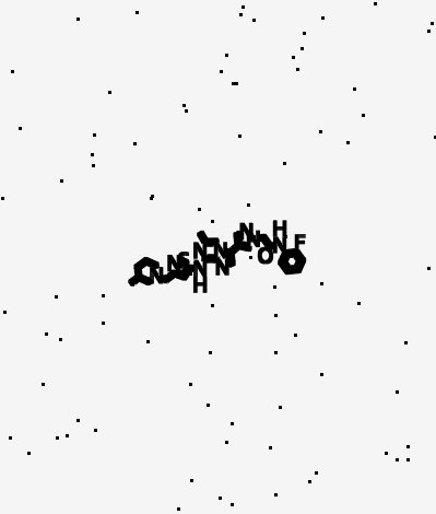 Cc1cn2c(-c3cnn(CC(=O)Nc4ccccc4F)c3)cnc2c(Nc2cc(CN3CCCC(C)C3)ns2)n1